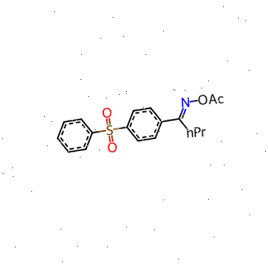 CCCC(=NOC(C)=O)c1ccc(S(=O)(=O)c2ccccc2)cc1